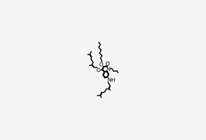 CCCCCCCCOc1c(OCC=C(C)CCC=C(C)C)c2ccc(NCC=C(C)CCC=C(C)C)cc2n(CCCC)c1=O